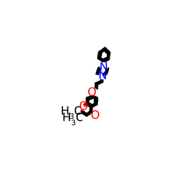 CC1(C)CC(=O)c2ccc(OCCCN3CCN(c4ccccc4)CC3)cc2O1